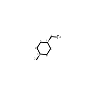 C[C@H]1CC[C@@H](CF)CC1